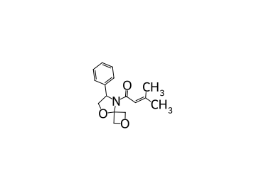 CC(C)=CC(=O)N1C(c2ccccc2)COC12COC2